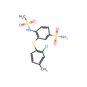 Cc1ccc(Sc2cc(S(N)(=O)=O)ccc2NS(C)(=O)=O)c(Cl)c1